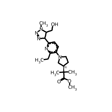 CCc1nc(C2N=NN(C)C2CO)ccc1N1CC[C@@H](C(C)(C)C(=O)OC)C1